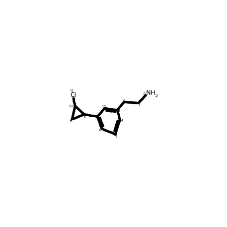 NCCc1cccc(C2CC2Cl)c1